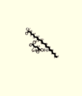 CCCCCCCCCCCCCCCCCC(=O)[O-].O=C([O-])CCC(=O)O.[Ca+2]